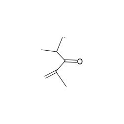 [CH2]C(C)C(=O)C(=C)C